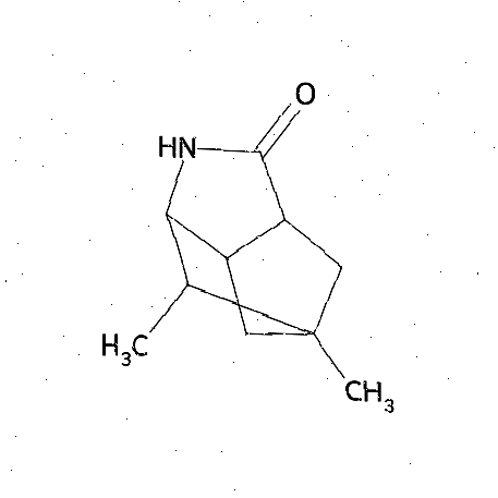 CC1C2NC(=O)C3CC1(C)CC32